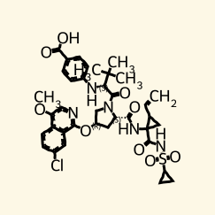 C=CC1CC1(NC(=O)[C@@H]1C[C@@H](Oc2ncc(OC)c3ccc(Cl)cc23)CN1C(=O)[C@@H](Nc1ccc(C(=O)O)cc1)C(C)(C)C)C(=O)NS(=O)(=O)C1CC1